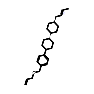 C=CCOCc1ccc(C2CCC([C@H]3CC[C@H](C/C=C/C)CC3)CC2)cc1